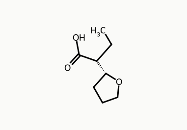 CCC(C(=O)O)[C@H]1CCCO1